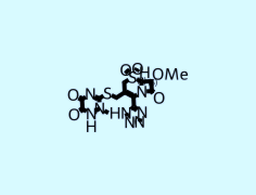 CO[C@H]1C(=O)N2C(c3nnn[nH]3)=C(CSc3nc(=O)c(=O)[nH]n3C)CS(=O)(=O)[C@@H]12